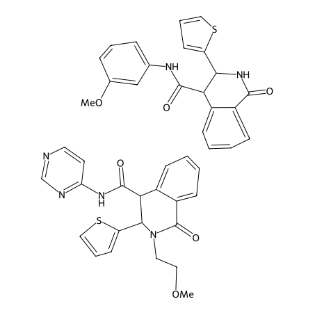 COCCN1C(=O)c2ccccc2C(C(=O)Nc2ccncn2)C1c1cccs1.COc1cccc(NC(=O)C2c3ccccc3C(=O)NC2c2cccs2)c1